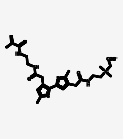 C=C(C)C(=O)NCCNC(=O)Cc1cc(C)sc1-c1cc(CC(=O)NCC[N+](C)(C)CC(=O)[O-])c(C)s1